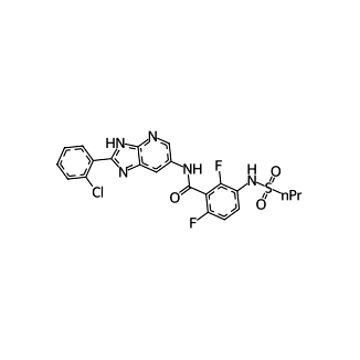 CCCS(=O)(=O)Nc1ccc(F)c(C(=O)Nc2cnc3[nH]c(-c4ccccc4Cl)nc3c2)c1F